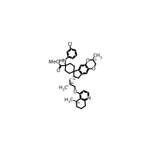 COC(=O)C1(Nc2cccc(Cl)c2)CCC2(CC1)c1cc3c(cc1C[C@@H]2C[C@@H](C)COc1ccnc2c1[C@H](C)CCC2)OC[C@H](C)O3